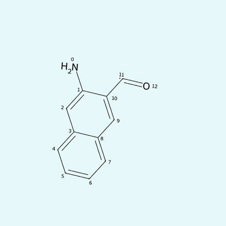 Nc1cc2ccccc2cc1[C]=O